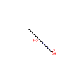 CCCCCCCCC(O)CC/C=C/C=C/C=C/C=C/C(=O)O